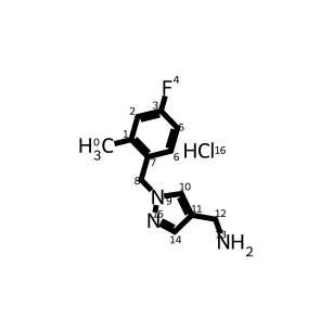 Cc1cc(F)ccc1Cn1cc(CN)cn1.Cl